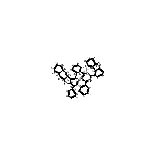 c1ccc(C2=NC(c3cccc4oc5ccccc5c34)NC(c3ccccc3-c3ncc(-c4ccccc4)c4oc5cc6ccccc6cc5c34)=N2)cc1